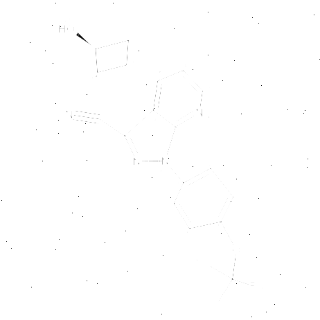 CC(F)(F)Oc1ccc(-n2nc(C#N)c3c2nccc3[C@H]2C[C@H](O)C2)cc1